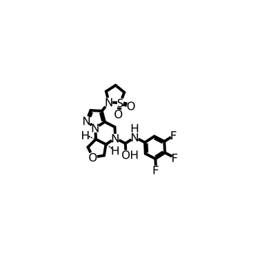 O=S1(=O)CCCN1c1cnn2c1CN(C(O)Nc1cc(F)c(F)c(F)c1)[C@H]1COC[C@H]12